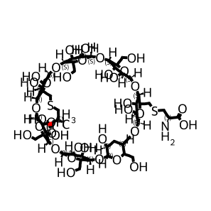 C[C@H](CSCC1O[C@@H]2O[C@@H]3C(CO)O[C@@H](O[C@@H]4C(CO)O[C@@H](O[C@@H]5C(CSC[C@@H](N)C(=O)O)O[C@@H](O[C@H]6C[C@H](O)[C@H](OC6CO)O[C@@H]6C(CO)O[C@H](O[C@@H]7C(CO)O[C@@H](O[C@@H]1[C@H](O)C2O)C(O)[C@H]7O)[C@@H](O)C6O)[C@@H](O)C5O)[C@@H](O)C4O)[C@@H](O)C3O)C(=O)O